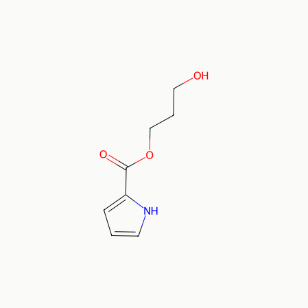 O=C(OCCCO)c1ccc[nH]1